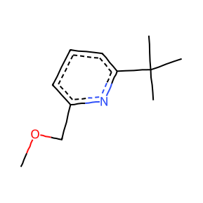 COCc1cccc(C(C)(C)C)n1